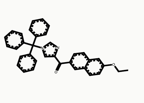 CCOc1ccc2cc(C(=O)c3cn(C(c4ccccc4)(c4ccccc4)c4ccccc4)cn3)ccc2c1